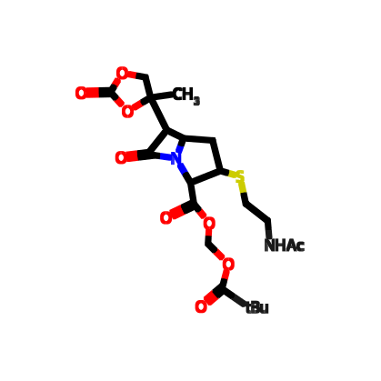 CC(=O)NCCSC1CC2C(C3(C)COC(=O)O3)C(=O)N2C1C(=O)OCOC(=O)C(C)(C)C